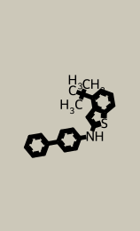 CC(C)(C)c1cccc2sc(Nc3ccc(-c4ccccc4)cc3)cc12